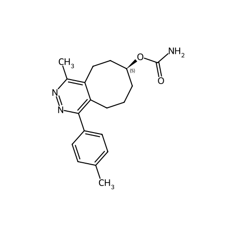 Cc1ccc(-c2nnc(C)c3c2CCC[C@H](OC(N)=O)CC3)cc1